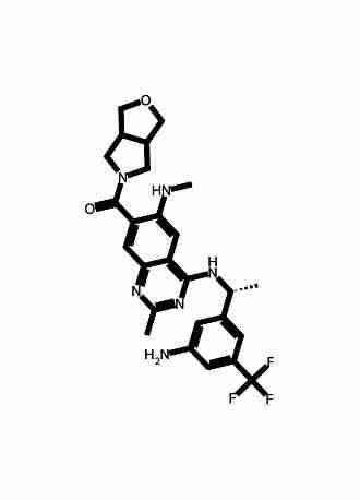 CNc1cc2c(N[C@H](C)c3cc(N)cc(C(F)(F)F)c3)nc(C)nc2cc1C(=O)N1CC2COCC2C1